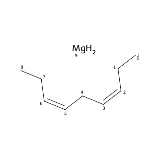 [CH2]C/C=C\C/C=C\CC.[MgH2]